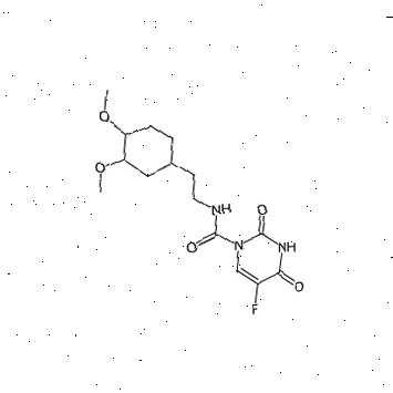 COC1CCC(CCNC(=O)n2cc(F)c(=O)[nH]c2=O)CC1OC